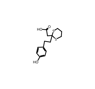 O=C(O)CC1(CCc2ccc(O)cc2)SCCCS1